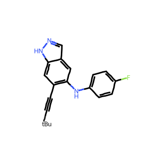 CC(C)(C)C#Cc1cc2[nH]ncc2cc1Nc1ccc(F)cc1